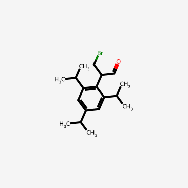 CC(C)c1cc(C(C)C)c(C(C=O)CBr)c(C(C)C)c1